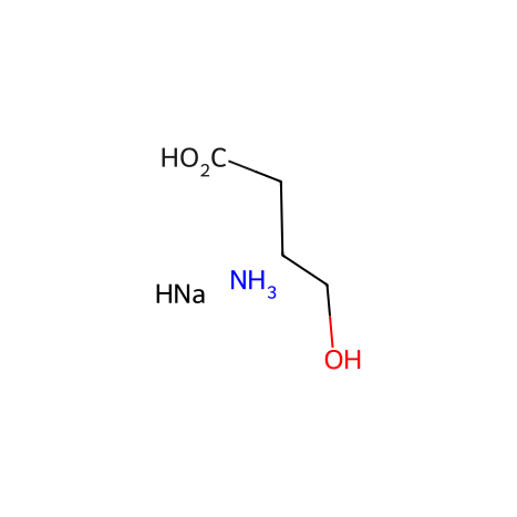 N.O=C(O)CCCO.[NaH]